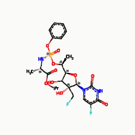 CC(C)OC(=O)[C@H](C)N[P@@](=O)(Oc1ccccc1)O[C@@H](C)[C@H]1O[C@@H](n2cc(F)c(=O)[nH]c2=O)[C@@](O)(CF)C1O